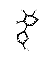 Cc1nc(-c2ccc(Cl)c(Cl)c2Cl)cs1